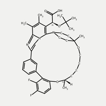 Cc1c([C@H](OC(C)(C)C)C(=O)O)c2n3cc(nc3c1C)-c1cccc(c1)-c1c(ccc(F)c1F)O[C@@H](C)CCCCOC1(C)CCN2CC1